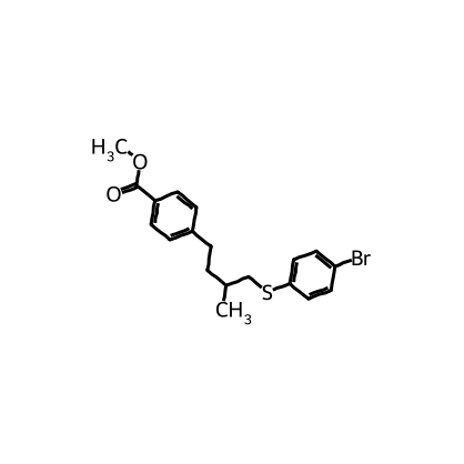 COC(=O)c1ccc(CCC(C)CSc2ccc(Br)cc2)cc1